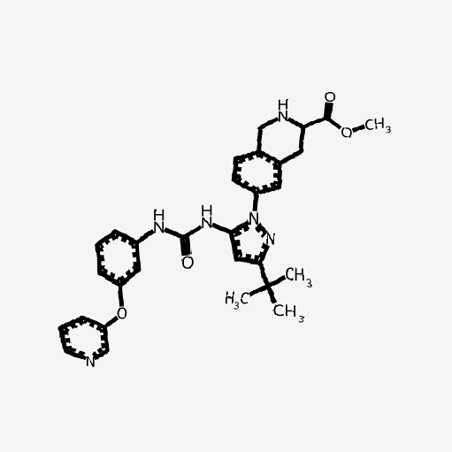 COC(=O)C1Cc2cc(-n3nc(C(C)(C)C)cc3NC(=O)Nc3cccc(Oc4cccnc4)c3)ccc2CN1